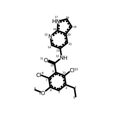 CCc1cc(OC)c(Cl)c(C(=O)Nc2cnc3[nH]ccc3c2)c1Cl